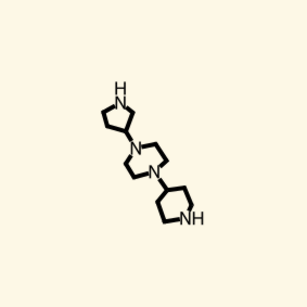 C1CC(N2CCN(C3CCNC3)CC2)CCN1